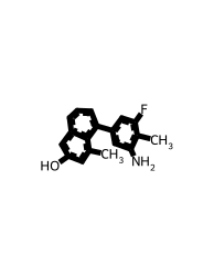 Cc1c(N)cc(-c2cccc3cc(O)cc(C)c23)cc1F